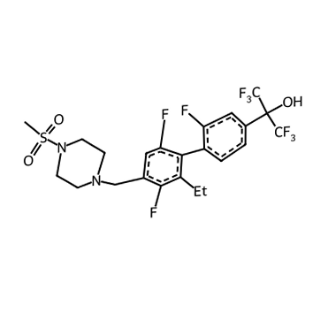 CCc1c(F)c(CN2CCN(S(C)(=O)=O)CC2)cc(F)c1-c1ccc(C(O)(C(F)(F)F)C(F)(F)F)cc1F